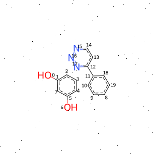 Oc1cccc(O)c1.c1ccc(-c2ccnnn2)cc1